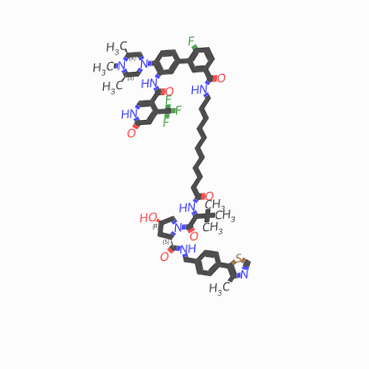 Cc1ncsc1-c1ccc(CNC(=O)[C@@H]2C[C@@H](O)CN2C(=O)C(NC(=O)CCCCCCCCCCNC(=O)c2ccc(F)c(-c3ccc(N4C[C@@H](C)N(C)[C@@H](C)C4)c(NC(=O)c4c[nH]c(=O)cc4C(F)(F)F)c3)c2)C(C)(C)C)cc1